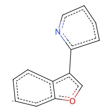 [c]1ccc2c(-c3ccccn3)coc2c1